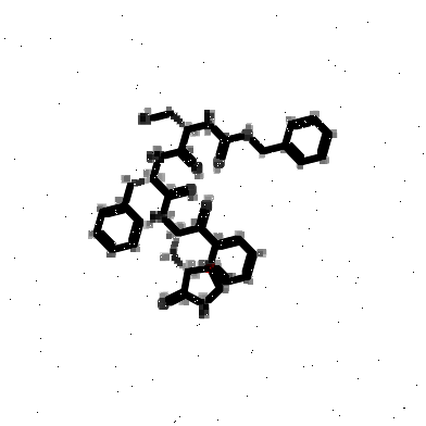 CC(C)C[C@H](NC(=O)OCc1ccccc1)C(=O)N[C@@H](Cc1ccccc1)C(=O)N[C@@H](C[C@@H]1CCNC1=O)C(=O)c1ccccn1